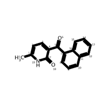 Cc1ccc(C(=O)c2cccc3ccccc23)c(=O)[nH]1